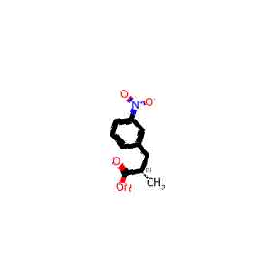 C[C@@H](Cc1cccc([N+](=O)[O-])c1)C(=O)O